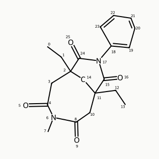 CCC12CC(=O)N(C)C(=O)CC(CC)(C1)C(=O)N(c1ccccc1)C2=O